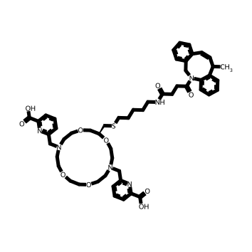 CC1/C=C\c2ccccc2CN(C(=O)CCC(=O)NCCCCCSC[C@@H]2COCCN(Cc3cccc(C(=O)O)n3)CCOCCOCCN(Cc3cccc(C(=O)O)n3)CCO2)c2ccccc21